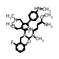 CNc1ccc(-c2sc(N(Cc3c(F)cccc3F)C(=O)N(C)/C(N)=C/C=C(\N)OC)c(C=O)c2CN(C)C)cc1